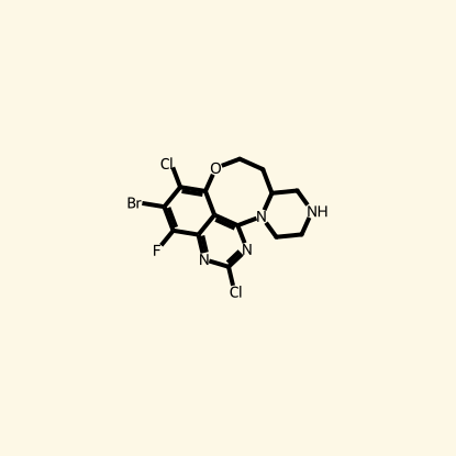 Fc1c(Br)c(Cl)c2c3c(nc(Cl)nc13)N1CCNCC1CCO2